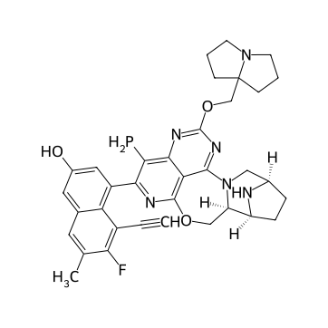 C#Cc1c(F)c(C)cc2cc(O)cc(-c3nc4c5c(nc(OCC67CCCN6CCC7)nc5c3P)N3C[C@H]5CC[C@H](N5)[C@H]3CO4)c12